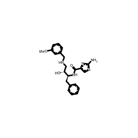 COc1cccc(CNC[C@@H](O)[C@H](Cc2ccccc2)NC(=O)c2csc(N)n2)c1